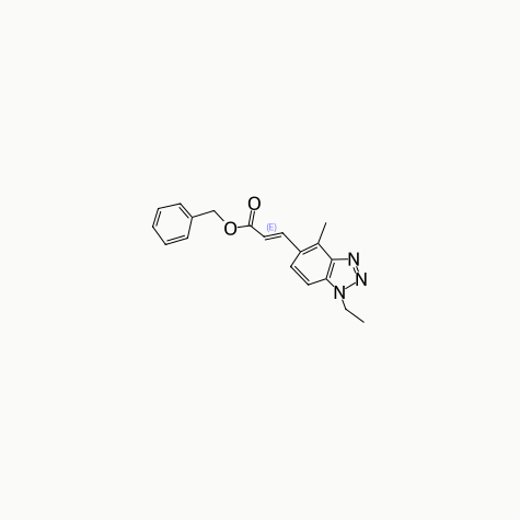 CCn1nnc2c(C)c(/C=C/C(=O)OCc3ccccc3)ccc21